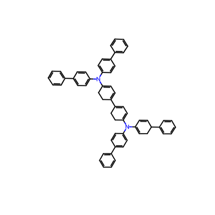 C1=CC(c2ccccc2)CC=C1N(C1=CC=C(C2=CC=C(N(c3ccc(-c4ccccc4)cc3)c3ccc(-c4ccccc4)cc3)CC2)CC1)c1ccc(-c2ccccc2)cc1